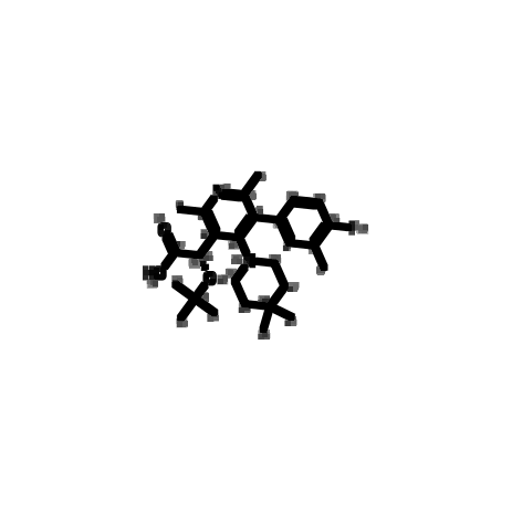 Cc1cc(-c2c(C)nc(C)c([C@H](OC(C)(C)C)C(=O)O)c2N2CCC(C)(C)CC2)ccc1F